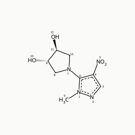 Cn1ncc([N+](=O)[O-])c1N1C[C@H](O)[C@@H](O)C1